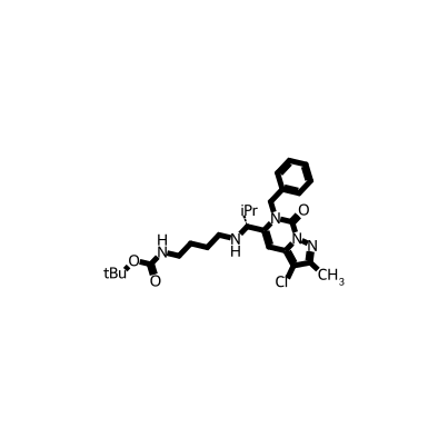 Cc1nn2c(=O)n(Cc3ccccc3)c([C@H](NCCCCNC(=O)OC(C)(C)C)C(C)C)cc2c1Cl